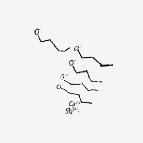 CCCC[O-].CCCC[O-].CCCC[O-].CCCC[O-].CCCC[O-].[Ca+2].[Sb+3]